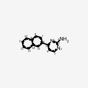 Nc1nccc(-c2ccc3ccccc3c2)n1